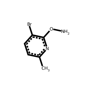 Cc1ccc(Br)c(ON)n1